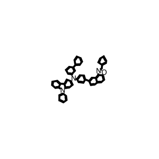 c1ccc(-c2cccc(N(c3ccc(-c4ccc5ccc6oc(-c7ccccc7)nc6c5c4)cc3)c3ccc4c(c3)c3ccccc3n4-c3ccccc3)c2)cc1